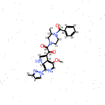 COc1cnc(-n2ccc(C)n2)c2[nH]cc(C(=O)C(=O)N3CCN(C(=O)c4ccccc4)C(C)C3)c12